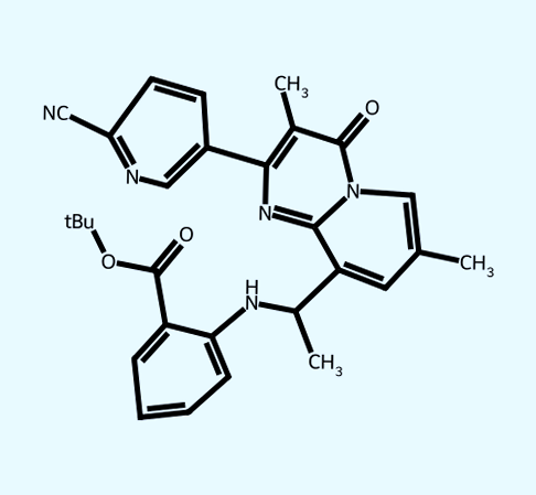 Cc1cc(C(C)Nc2ccccc2C(=O)OC(C)(C)C)c2nc(-c3ccc(C#N)nc3)c(C)c(=O)n2c1